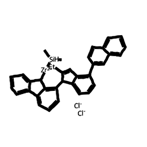 CCC1=Cc2c(-c3ccc4ccccc4c3)cccc2C1c1cccc2c1[CH]([Zr+2][SiH](C)C)c1ccccc1-2.[Cl-].[Cl-]